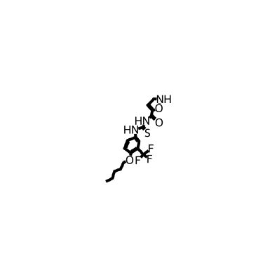 CCCCCOc1ccc(NC(=S)NC(=O)C2=CCNO2)cc1C(F)(F)F